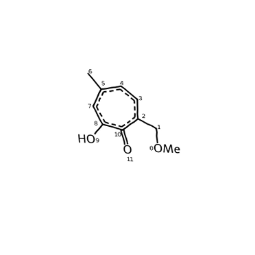 COCc1ccc(C)cc(O)c1=O